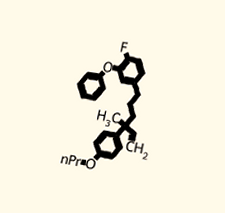 C=CC(C)(CCCc1ccc(F)c(Oc2ccccc2)c1)c1ccc(OCCC)cc1